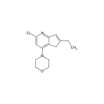 CCC1=Cc2nc(Cl)cc(N3CCOCC3)c2C1